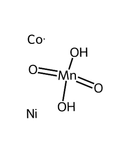 [Co].[Ni].[O]=[Mn](=[O])([OH])[OH]